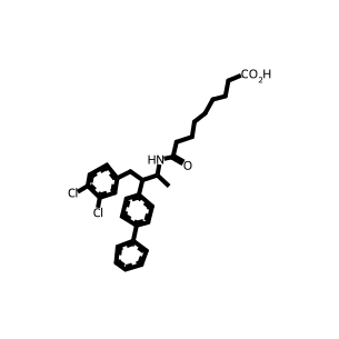 CC(NC(=O)CCCCCCCC(=O)O)C(Cc1ccc(Cl)c(Cl)c1)c1ccc(-c2ccccc2)cc1